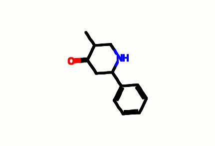 CC1CNC(c2ccccc2)CC1=O